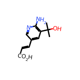 CC(C)(O)c1cc(/C=C/C(=O)O)cnc1N